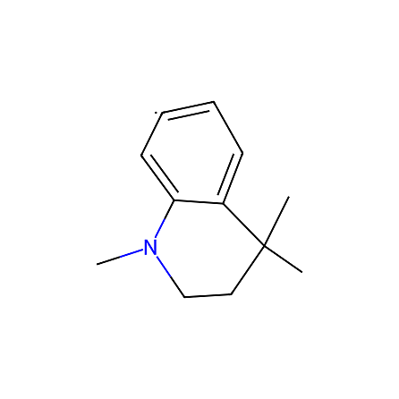 CN1CCC(C)(C)c2cc[c]cc21